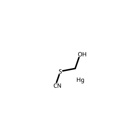 N#CSCO.[Hg]